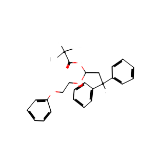 CCC(C)(C)C(=O)OC(CC(C)(c1ccccc1)c1ccccc1)OCCOc1ccccc1